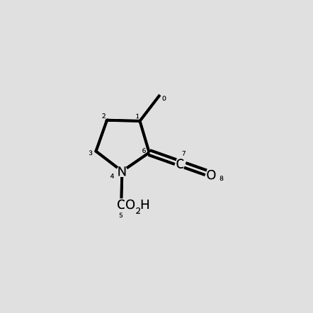 CC1CCN(C(=O)O)C1=C=O